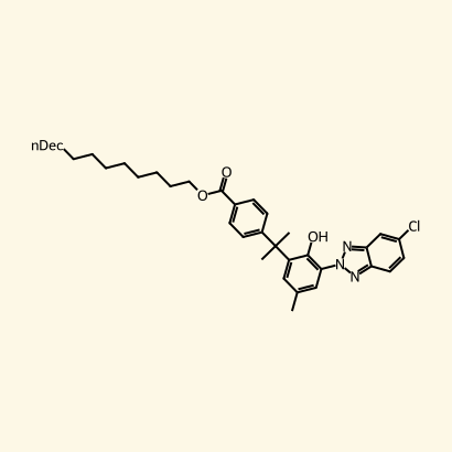 CCCCCCCCCCCCCCCCCCOC(=O)c1ccc(C(C)(C)c2cc(C)cc(-n3nc4ccc(Cl)cc4n3)c2O)cc1